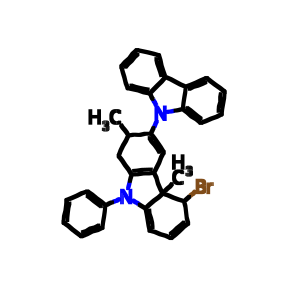 CC1CC2=C(C=C1n1c3ccccc3c3ccccc31)C1(C)C(=CC=CC1Br)N2c1ccccc1